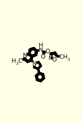 Cc1cc(N2CCC(c3ccccc3)C2)c2cc(NC(=O)Oc3cc(C)on3)ccc2n1